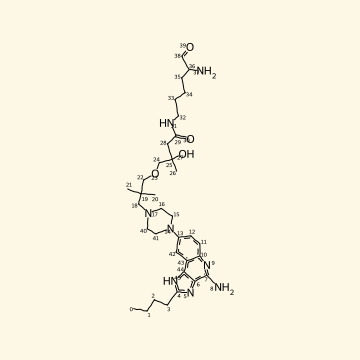 CCCCc1nc2c(N)nc3ccc(N4CCN(CC(C)(C)COCC(C)(O)CC(=O)NCCCCC(N)C=O)CC4)cc3c2[nH]1